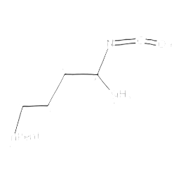 CCCCCCCCC([SiH3])N=C=O